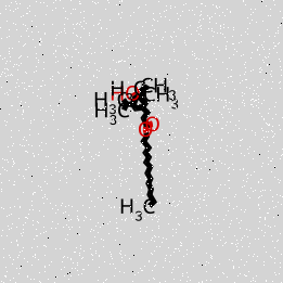 CCCCCCCCCCCCCCOC(=O)CCc1cc(C(C)C)c(O)c(C(C)(C)C)c1